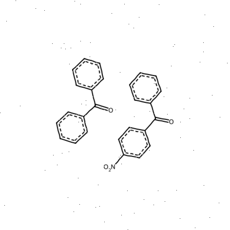 O=C(c1ccccc1)c1ccc([N+](=O)[O-])cc1.O=C(c1ccccc1)c1ccccc1